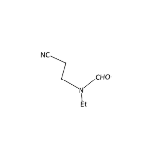 CCN([C]=O)CCC#N